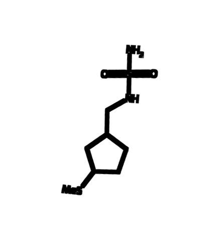 CSC1CCC(CNS(N)(=O)=O)C1